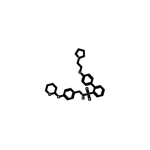 O=S(=O)(NCc1ccc(OC2CCCCO2)cc1)c1ccccc1-c1ccc(OCCN2CCCC2)cc1